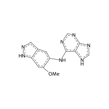 COc1cc2[nH]ncc2cc1Nc1ncnc2nc[nH]c12